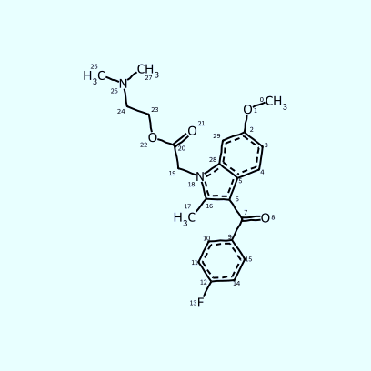 COc1ccc2c(C(=O)c3ccc(F)cc3)c(C)n(CC(=O)OCCN(C)C)c2c1